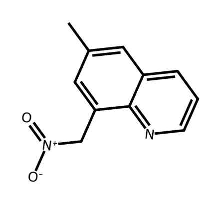 Cc1cc(C[N+](=O)[O-])c2ncccc2c1